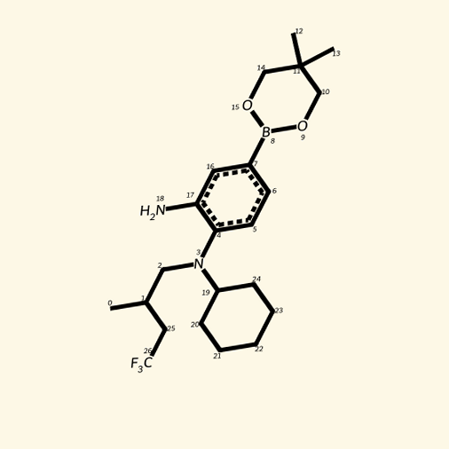 CC(CN(c1ccc(B2OCC(C)(C)CO2)cc1N)C1CCCCC1)CC(F)(F)F